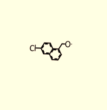 [O]Cc1cccc2cc(Cl)ccc12